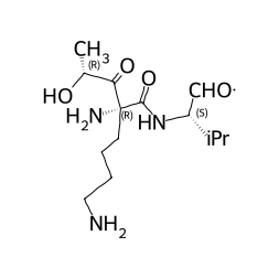 CC(C)[C@@H]([C]=O)NC(=O)[C@@](N)(CCCCN)C(=O)[C@@H](C)O